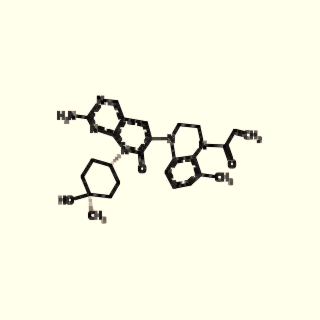 C=CC(=O)N1CCN(c2cc3cnc(N)nc3n([C@H]3CC[C@](C)(O)CC3)c2=O)c2cccc(C)c21